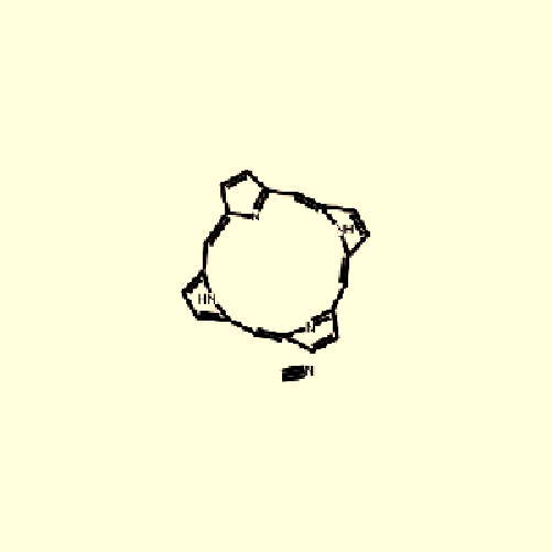 C#N.C1=Cc2cc3ccc(cc4nc(cc5ccc(cc1n2)[nH]5)C=C4)[nH]3